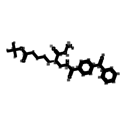 CC(C)(C)OC(=O)CCCC[C@@H](CNC(=O)c1ccc(C(=O)c2ccccc2)cc1)C(=O)ON